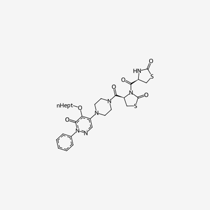 CCCCCCCOc1c(N2CCN(C(=O)[C@@H]3CSC(=O)N3C(=O)[C@@H]3CSC(=O)N3)CC2)cnn(-c2ccccc2)c1=O